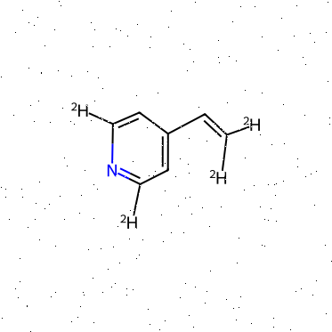 [2H]C([2H])=Cc1cc([2H])nc([2H])c1